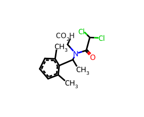 Cc1cccc(C)c1C(C)N(CC(=O)O)C(=O)C(Cl)Cl